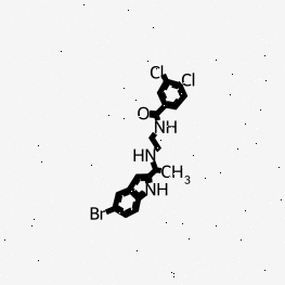 CC(NCCNC(=O)c1ccc(Cl)c(Cl)c1)c1cc2cc(Br)ccc2[nH]1